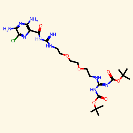 CC(C)(C)OC(=O)/N=C(\NCCOCCOCCNC(=N)NC(=O)c1nc(Cl)c(N)nc1N)NC(=O)OC(C)(C)C